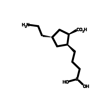 NCC[C@H]1C[C@H](CCCB(O)O)[C@H](C(=O)O)C1